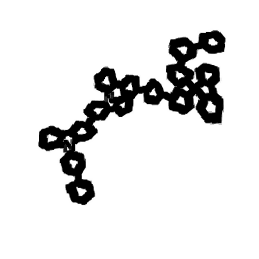 c1ccc(-c2ccc(-n3c4ccccc4c4cc(-c5ccc6c(c5)c5ccccc5n6-c5ccccc5-c5ccc(-c6ccc(-c7cccc(C8(c9cccc(-c%10cccc(-c%11ccccc%11)c%10)c9)c9ccccc9-c9ccccc98)c7)cc6)cc5)ccc43)cc2)cc1